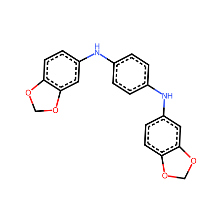 c1cc(Nc2ccc3c(c2)OCO3)ccc1Nc1ccc2c(c1)OCO2